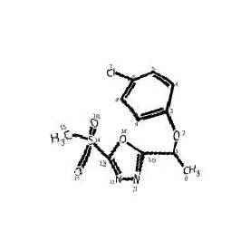 CC(Oc1ccc(Cl)cc1)c1nnc(S(C)(=O)=O)o1